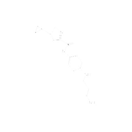 NCCCNC1CCC(NC(=O)c2cc(C3CC3)on2)CC1